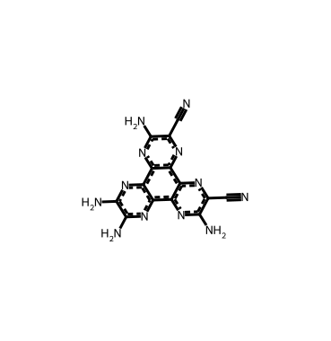 N#Cc1nc2c(nc1N)c1nc(N)c(N)nc1c1nc(N)c(C#N)nc12